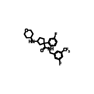 O=C(NCc1cc(F)cc(C(F)(F)F)c1)C1(c2cccc(F)c2)CCC(NC2CCOCC2)C1